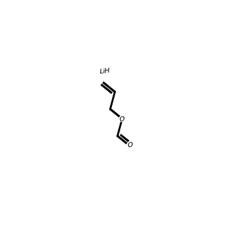 C=CCOC=O.[LiH]